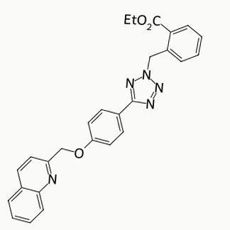 CCOC(=O)c1ccccc1Cn1nnc(-c2ccc(OCc3ccc4ccccc4n3)cc2)n1